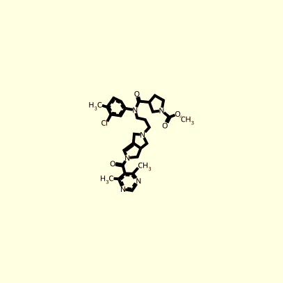 COC(=O)N1CCC(C(=O)N(CCCN2CC3=CN(C(=O)c4c(C)ncnc4C)CC3C2)c2ccc(C)c(Cl)c2)C1